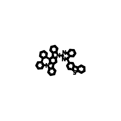 c1ccc2c(c1)-c1ccccc1-n1c3ccccc3c3cc4c(c-2c31)c1ccccc1n4-c1nc(-c2ccc3sc4ccccc4c3c2)c2ccccc2n1